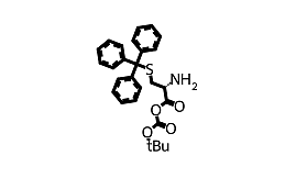 CC(C)(C)OC(=O)OC(=O)[C@@H](N)CSC(c1ccccc1)(c1ccccc1)c1ccccc1